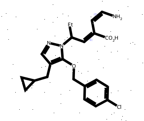 CCC(/C=C(\C=C/N)C(=O)O)n1ncc(CC2CC2)c1OCc1ccc(Cl)cc1